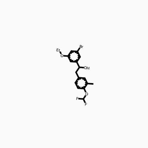 CCOc1cc(Br)cc(C(O)Cc2ccc(OC(F)F)c(C)c2)c1